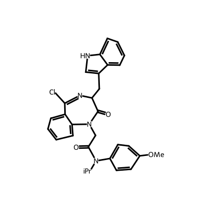 COc1ccc(N(C(=O)CN2C(=O)C(Cc3c[nH]c4ccccc34)N=C(Cl)c3ccccc32)C(C)C)cc1